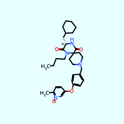 CCCCN1C(=O)[C@H](CC2CCCCC2)NC(=O)C12CCN(Cc1ccc(Oc3ccc(C)[n+]([O-])c3)cc1)CC2